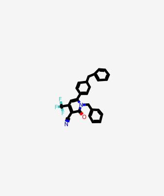 N#Cc1c(C(F)(F)F)cc(C2=CCC(Cc3ccccc3)C=C2)n(Cc2ccccc2)c1=O